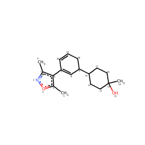 Cc1noc(C)c1C1=CC(C2CCC(C)(O)CC2)CC=C1